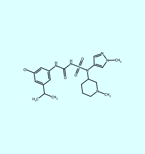 CC(C)c1cc(Cl)cc(NC(=O)NS(=O)(=O)N(c2cnn(C)c2)C2CCCN(C)C2)c1